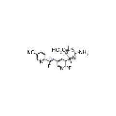 C[C@@H]1[C@@](C)(C(=O)O)SC(N)=N[C@]1(C)c1cc(/C=C(\F)c2ccc(C#N)cn2)cnc1F